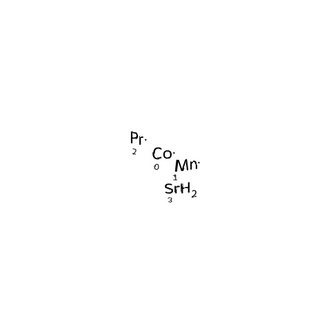 [Co].[Mn].[Pr].[SrH2]